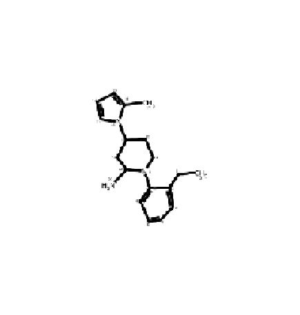 CCc1ccccc1N1CCC(n2cccc2C)CC1N